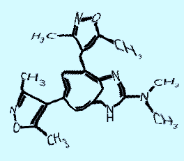 Cc1noc(C)c1-c1cc(-c2c(C)noc2C)c2nc(N(C)C)[nH]c2c1